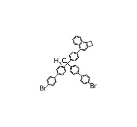 CC(c1ccc(-c2ccc(Br)cc2)cc1)(c1ccc(-c2ccc(Br)cc2)cc1)c1ccc(-c2cc3c(c4ccccc24)CC3)cc1